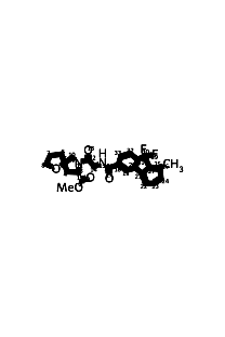 COC(=O)[C@@H]1CC2(CCCO2)CN1C(=O)CNC(=O)C1=CC2c3cccc(C)c3C(F)(F)C2C=C1